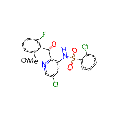 COc1cccc(F)c1C(=O)c1ncc(Cl)cc1NS(=O)(=O)c1ccccc1Cl